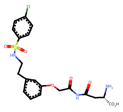 N[C@@H](CC(=O)NC(=O)COc1cccc(CCNS(=O)(=O)c2ccc(Cl)cc2)c1)C(=O)O